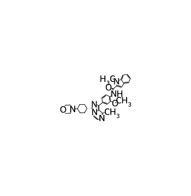 COc1cc(-c2nc([C@H]3CC[C@H](N4CCOCC4)CC3)n3ccnc(C)c23)ccc1NC(=O)c1cc2ccccc2n1C